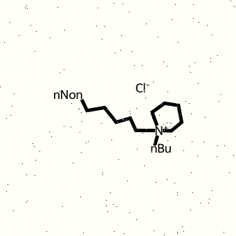 CCCCCCCCCCCCCC[N+]1(CCCC)CCCCC1.[Cl-]